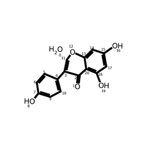 O.O=c1c(-c2ccc(O)cc2)coc2cc(O)cc(O)c12